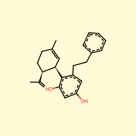 C=C(C)[C@H]1CCC(C)=C[C@H]1c1c(O)cc(O)cc1CCc1ccccc1